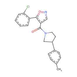 Cc1ccc(C2CCN(C(=O)c3cnoc3-c3ccccc3Cl)C2)cc1